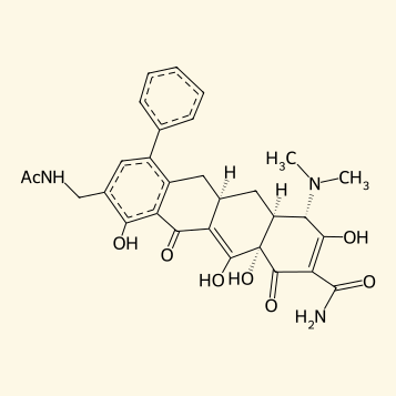 CC(=O)NCc1cc(-c2ccccc2)c2c(c1O)C(=O)C1=C(O)[C@]3(O)C(=O)C(C(N)=O)=C(O)[C@@H](N(C)C)[C@@H]3C[C@@H]1C2